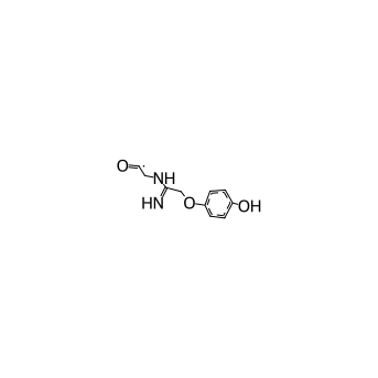 N=C(COc1ccc(O)cc1)NC[C]=O